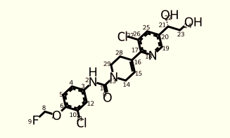 O=C(Nc1ccc(OCF)c(Cl)c1)N1CC=C(c2ncc([C@H](O)CO)cc2Cl)CC1